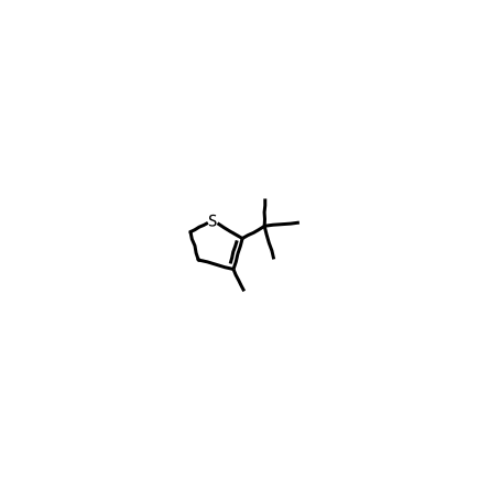 CC1=C(C(C)(C)C)SCC1